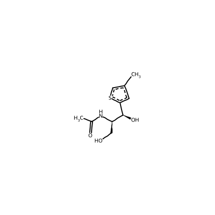 CC(=O)N[C@H](CO)[C@H](O)c1cc(C)cs1